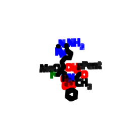 CCCCCOC(=O)[C@H](C)NP(=O)(OC[C@@](CF)(OC)[C@@H](O)Cc1ccc2c(N)ncnn12)Oc1ccccc1